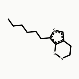 CCCCCCc1scc2c1SSCC2